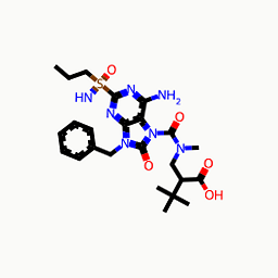 CCCS(=N)(=O)c1nc(N)c2c(n1)n(Cc1ccccc1)c(=O)n2C(=O)N(C)CC(C(=O)O)C(C)(C)C